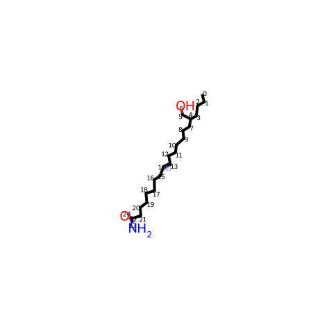 CCCCC(CO)CCCCCC/C=C/CCCCCCCC(N)=O